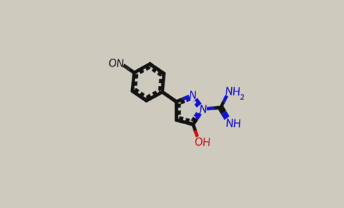 N=C(N)n1nc(-c2ccc(N=O)cc2)cc1O